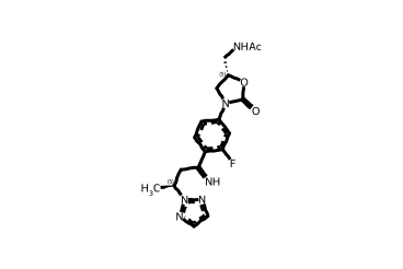 CC(=O)NC[C@H]1CN(c2ccc(C(=N)C[C@H](C)n3nccn3)c(F)c2)C(=O)O1